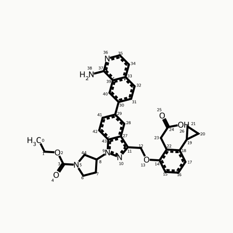 CCOC(=O)N1CCC(n2nc(COc3cccc(C4CC4)c3CC(=O)O)c3cc(-c4ccc5ccnc(N)c5c4)ccc32)C1